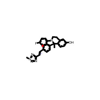 Cn1nnc(/C=C/c2ccc(C3(C)c4ccc(O)cc4CCN3c3ccc(F)cc3)cc2)n1